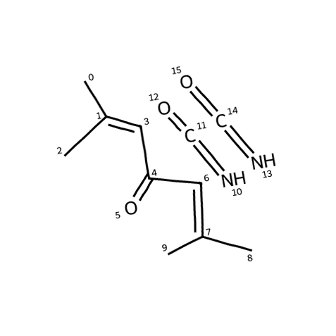 CC(C)=CC(=O)C=C(C)C.N=C=O.N=C=O